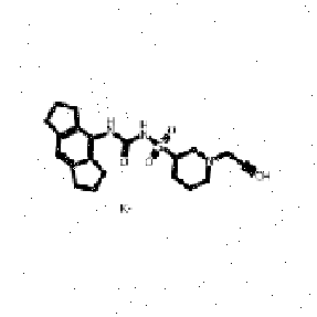 C#CCN1CCCC(S(=O)(=O)NC(=O)Nc2c3c(cc4c2CCC4)CCC3)C1.[K]